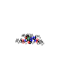 Cc1cc(N(C)C(=O)OC(C)(C)C)cc(Nc2nc3c(c(C4=CCN(C(=O)OC(C)(C)C)CC(O[Si](C)(C)C(C)(C)C)C4)c2Cl)OCCC3)n1